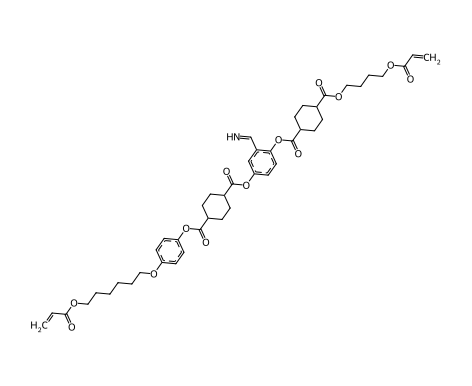 C=CC(=O)OCCCCCCOc1ccc(OC(=O)C2CCC(C(=O)Oc3ccc(OC(=O)C4CCC(C(=O)OCCCCOC(=O)C=C)CC4)c(C=N)c3)CC2)cc1